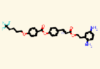 Nc1ccc(N)c(CCOC(=O)/C=C/c2ccc(OC(=O)c3ccc(OCCCCC(F)(F)F)cc3)cc2)c1